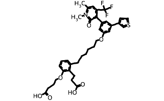 Cc1cc(C(F)(F)F)c(-c2cc(OCCCCCCc3cccc(OCCCC(=O)O)c3CCC(=O)O)cc(-c3ccsc3)c2)c(=O)n1C